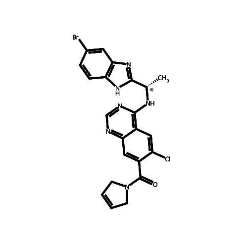 C[C@H](Nc1ncnc2cc(C(=O)N3CC=CC3)c(Cl)cc12)c1nc2cc(Br)ccc2[nH]1